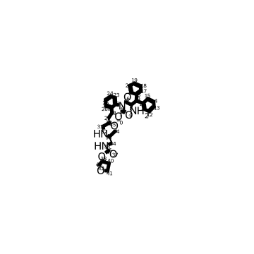 COC(=O)N(C(=O)[C@@H](N)C(c1ccccc1)c1ccccc1)c1ccccc1CC[C@@H]1CN[C@H](CNC(=O)OC2CCOC2)CO1